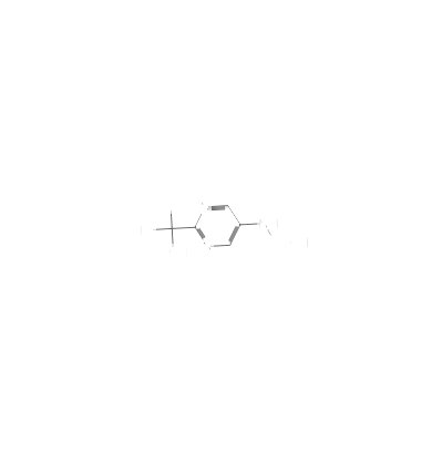 CC(C)(O)c1ncc(NC(=O)O)cn1